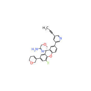 CC#Cc1cncc(-c2ccc3c(c2)[C@@]2(COCC(N)=N2)c2cc(C4=CCCOC4)cc(F)c2O3)c1